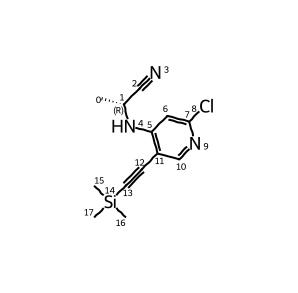 C[C@H](C#N)Nc1cc(Cl)ncc1C#C[Si](C)(C)C